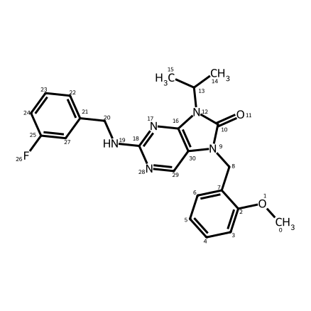 COc1ccccc1Cn1c(=O)n(C(C)C)c2nc(NCc3cccc(F)c3)ncc21